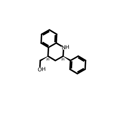 OC[C@@H]1C[C@H](c2ccccc2)Nc2ccccc21